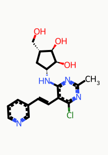 Cc1nc(Cl)c(/C=C/c2cccnc2)c(N[C@@H]2C[C@H](CO)[C@@H](O)[C@H]2O)n1